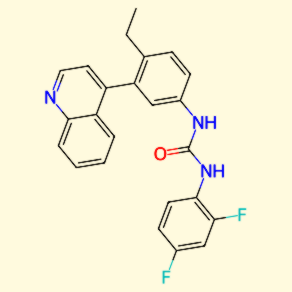 CCc1ccc(NC(=O)Nc2ccc(F)cc2F)cc1-c1ccnc2ccccc12